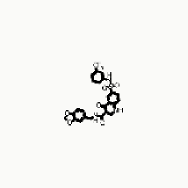 O=C(NCc1ccc2c(c1)OCO2)c1c[nH]c2ccc(S(=O)(=O)NC3=CC(C(F)(F)F)=CCC3)cc2c1=O